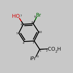 CC(C)C(C(=O)O)c1ccc(O)c(Br)c1